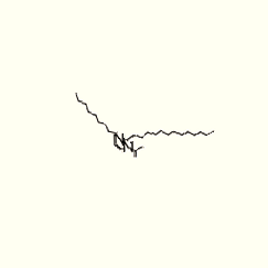 CCCCCCCCCCCCCC1N(CCCCCCCCC)C=CN1C(C)C